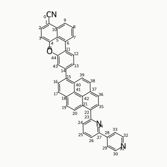 N#Cc1ccc2c3c(cccc13)-c1ccc(-c3ccc4ccc5c(-c6cccc(-c7ccncc7)n6)ccc6ccc3c4c65)cc1O2